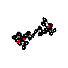 C1=CC2c3cccc(-c4cccc5c(-c6cccc7c8ccccc8n(-c8ccccc8)c67)c6cccc(-c7cccc8c9ccccc9p(-c9ccccc9)c78)c6cc45)c3P(c3ccccc3)C2C=C1c1ccc2c3cccc(-c4cccc5c(-c6cccc7c6[Si](c6ccccc6)(c6ccccc6)c6ccccc6-7)c6cccc(-c7cccc8c9ccccc9p(-c9ccccc9)c78)c6cc45)c3p(-c3ccccc3)c2c1